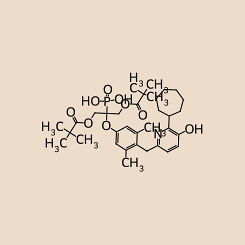 Cc1cc(OC(COC(=O)C(C)(C)C)(COC(=O)C(C)(C)C)P(=O)(O)O)cc(C)c1Cc1ccc(O)c(C2CCCCCC2)n1